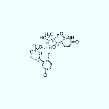 C[C@@]1(F)[C@H](O)[C@@H](CO[P@]2(=O)OCC[C@H](c3cc(Cl)ccc3F)O2)O[C@H]1n1ccc(=O)[nH]c1=O